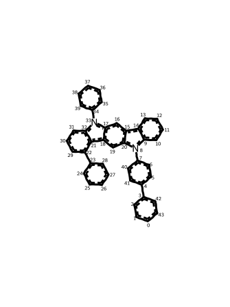 c1ccc(-c2ccc(-n3c4ccccc4c4cc5c(cc43)c3c(-c4ccccc4)cccc3n5-c3ccccc3)cc2)cc1